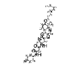 COc1c(OCCCN2CCCCC2)ccc2c(Oc3ncc(NC(=O)CC(=O)Nc4ccc(F)cc4)cc3Cl)ccnc12